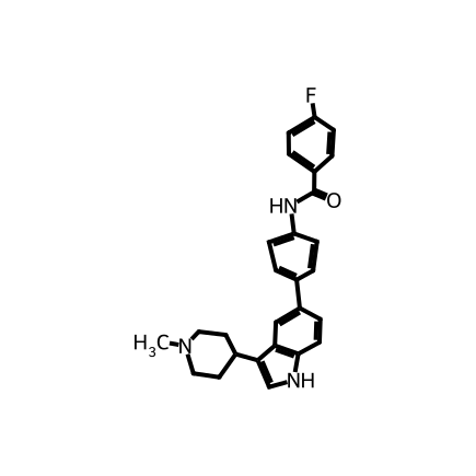 CN1CCC(c2c[nH]c3ccc(-c4ccc(NC(=O)c5ccc(F)cc5)cc4)cc23)CC1